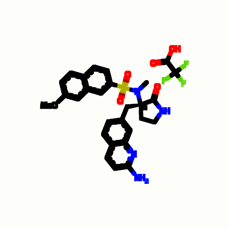 COc1ccc2ccc(S(=O)(=O)N(C)[C@@]3(Cc4ccc5ccc(N)nc5c4)CCNC3=O)cc2c1.O=C(O)C(F)(F)F